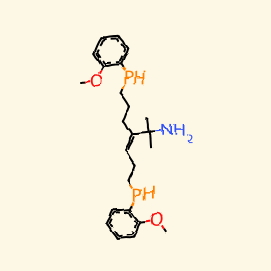 COc1ccccc1PCCC=C(CCCPc1ccccc1OC)C(C)(C)N